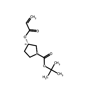 C=CC(=O)O[C@H]1CCN(C(=O)OC(C)(C)C)C1